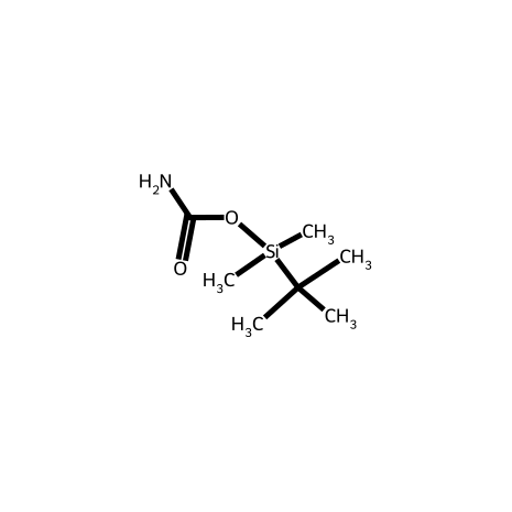 CC(C)(C)[Si](C)(C)OC(N)=O